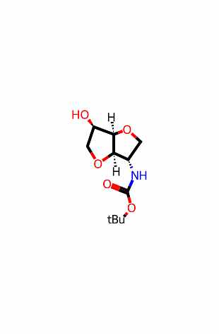 CC(C)(C)OC(=O)N[C@H]1CO[C@H]2[C@@H]1OC[C@H]2O